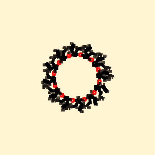 C=C[Si]1(CC(C)C)O[Si](C=C)(CC(C)C)O[Si](C=C)(CC(C)C)O[Si](C=C)(CC(C)C)O[Si](C=C)(CC(C)C)O[Si](C=C)(CC(C)C)O[Si](C=C)(CC(C)C)O[Si](C=C)(CC(C)C)O[Si](C=C)(CC(C)C)O[Si](C=C)(CC(C)C)O[Si](C=C)(CC(C)C)O[Si](C=C)(CC(C)C)O1